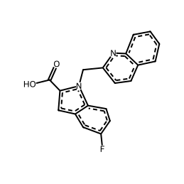 O=C(O)c1cc2cc(F)ccc2n1Cc1ccc2ccccc2n1